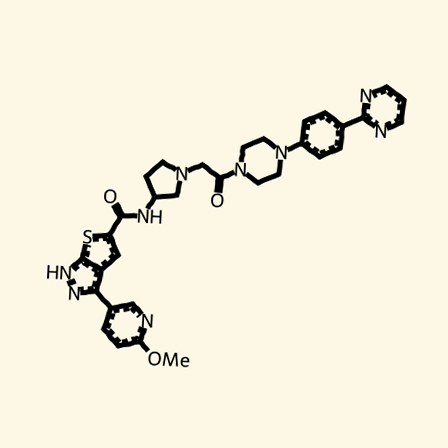 COc1ccc(-c2n[nH]c3sc(C(=O)NC4CCN(CC(=O)N5CCN(c6ccc(-c7ncccn7)cc6)CC5)C4)cc23)cn1